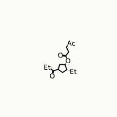 CCC(=O)C1C[C@@H](CC)[C@@H](OC(=O)CCC(C)=O)C1